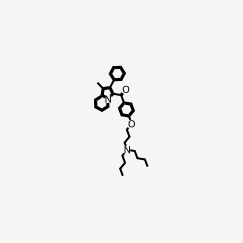 CCCCN(CCCC)CCCOc1ccc(C(=O)c2c(-c3ccccc3)c(C)c3ccccn23)cc1